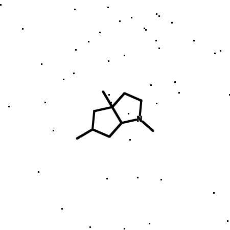 CC1CC2N(C)CCC2(C)C1